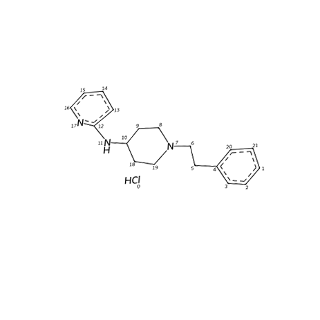 Cl.c1ccc(CCN2CCC(Nc3ccccn3)CC2)cc1